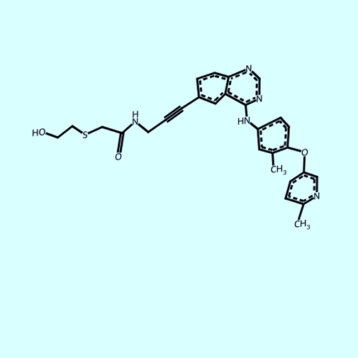 Cc1ccc(Oc2ccc(Nc3ncnc4ccc(C#CCNC(=O)CSCCO)cc34)cc2C)cn1